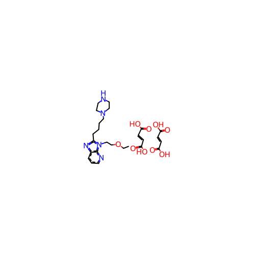 CCOCCn1c(CCCCN2CCNCC2)nc2cccnc21.O=C(O)C=CC(=O)O.O=C(O)C=CC(=O)O